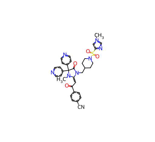 CN1C(=CC(=O)c2ccc(C#N)cc2)N(CC2CCN(S(=O)(=O)c3cn(C)cn3)CC2)C(=O)C1(c1ccncc1)c1ccncc1